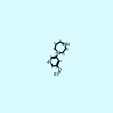 CCOc1cncc(N2CCCNCC2)c1